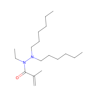 C=C(C)C(=O)N(CC)N(CCCCCC)CCCCCC